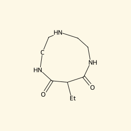 CCC1C(=O)NCCNCCNC1=O